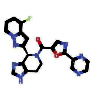 O=C(c1cnc(-c2cnccn2)o1)N1CCc2[nH]cnc2[C@@H]1c1cc2c(F)cccn2n1